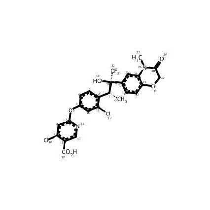 C[C@H](c1ccc(Oc2cc(Cl)c(C(=O)O)cn2)cc1Cl)[C@@](O)(c1ccc2c(c1)N(C)C(=O)CO2)C(F)(F)F